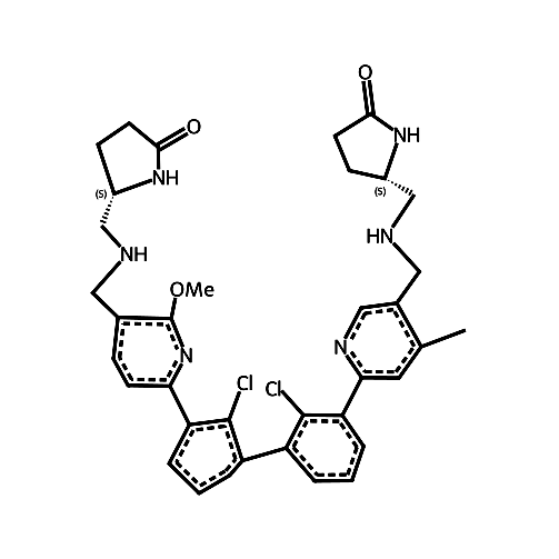 COc1nc(-c2cccc(-c3cccc(-c4cc(C)c(CNC[C@@H]5CCC(=O)N5)cn4)c3Cl)c2Cl)ccc1CNC[C@@H]1CCC(=O)N1